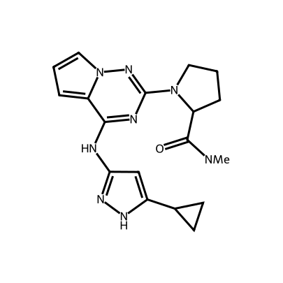 CNC(=O)C1CCCN1c1nc(Nc2cc(C3CC3)[nH]n2)c2cccn2n1